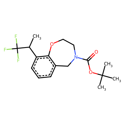 CC(c1cccc2c1OCCN(C(=O)OC(C)(C)C)C2)C(F)(F)F